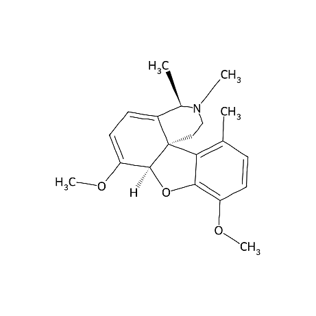 COC1=CC=C2[C@@H](C)N(C)CC[C@@]23c2c(C)ccc(OC)c2O[C@@H]13